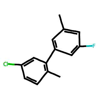 Cc1cc(F)cc(-c2cc(Cl)ccc2C)c1